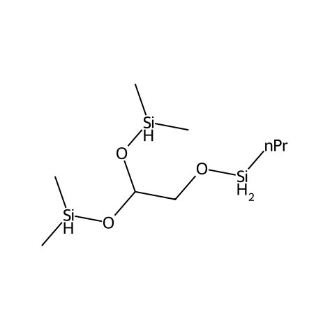 CCC[SiH2]OCC(O[SiH](C)C)O[SiH](C)C